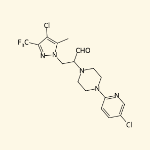 Cc1c(Cl)c(C(F)(F)F)nn1CC(C=O)N1CCN(c2ccc(Cl)cn2)CC1